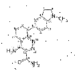 CN1CCc2cc(-c3cccc4c(N)c(C(N)=O)nnc34)ccc21